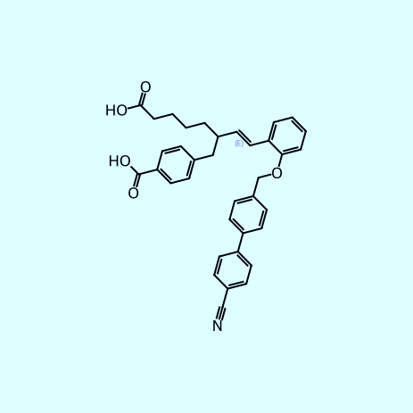 N#Cc1ccc(-c2ccc(COc3ccccc3/C=C/C(CCCCC(=O)O)Cc3ccc(C(=O)O)cc3)cc2)cc1